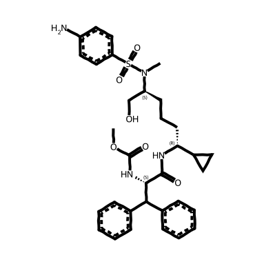 COC(=O)N[C@H](C(=O)N[C@H](CCC[C@@H](CO)N(C)S(=O)(=O)c1ccc(N)cc1)C1CC1)C(c1ccccc1)c1ccccc1